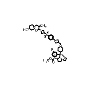 C=C(CN1CCC(O)CC1)C(=O)N1CC(S(=O)(=O)c2ccc(N3CC(CN4CCC([C@@](CN5CCC5)(c5cccc(F)c5)[C@H]5CCC[C@@H]5NC(=O)OC)CC4)C3)cc2)C1